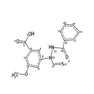 COc1cc(C(=O)O)cc(N(C=S)NC(=O)c2ccccc2)c1